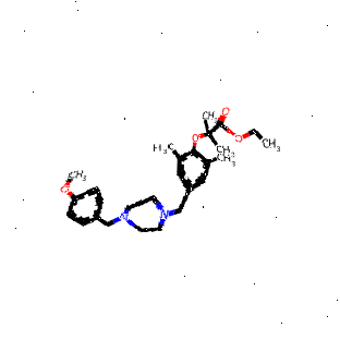 CCOC(=O)C(C)(C)Oc1c(C)cc(CN2CCN(Cc3ccc(OC)cc3)CC2)cc1C